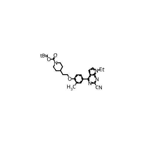 CCn1ccc2c(-c3ccc(OCCC4CCN(C(=O)OC(C)(C)C)CC4)c(C)c3)nc(C#N)nc21